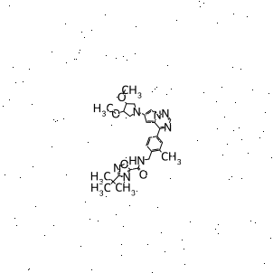 COC1CN(c2cc3c(-c4ccc(CNC(=O)c5nc(C(C)(C)C)no5)c(C)c4)ncnn3c2)CC1OC